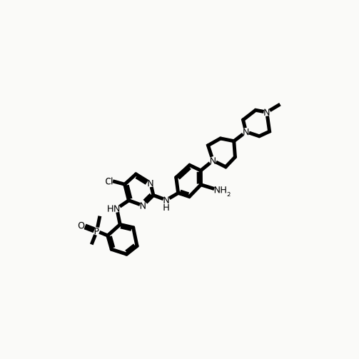 CN1CCN(C2CCN(c3ccc(Nc4ncc(Cl)c(Nc5ccccc5P(C)(C)=O)n4)cc3N)CC2)CC1